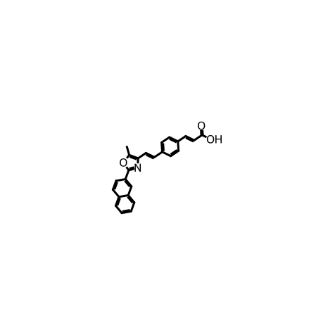 Cc1oc(-c2ccc3ccccc3c2)nc1C=Cc1ccc(C=CC(=O)O)cc1